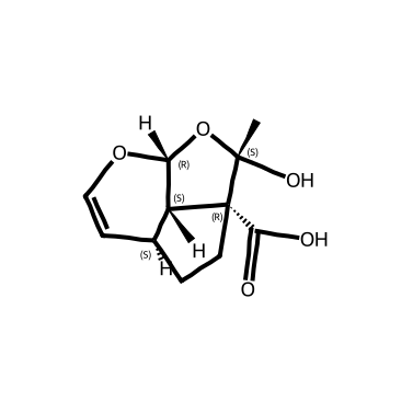 C[C@]1(O)O[C@H]2OC=C[C@@H]3CC[C@@]1(C(=O)O)[C@@H]23